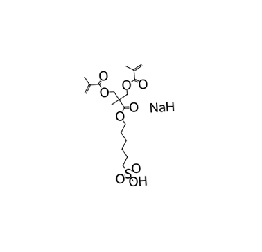 C=C(C)C(=O)OCC(C)(COC(=O)C(=C)C)C(=O)OCCCCCCS(=O)(=O)O.[NaH]